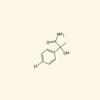 CC(O)(C(N)=O)c1ccc(Cl)cc1